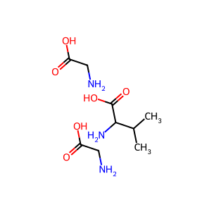 CC(C)C(N)C(=O)O.NCC(=O)O.NCC(=O)O